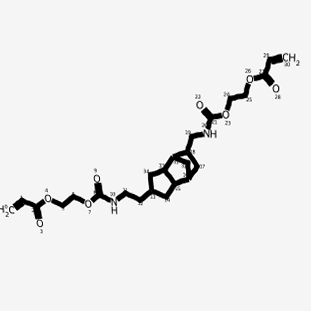 C=CC(=O)OCCOC(=O)NCCC1CC2C3CC(CNC(=O)OCCOC(=O)C=C)C(C3)C2C1